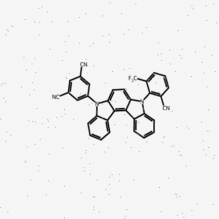 N#Cc1cc(C#N)cc(-n2c3ccccc3c3c4c5ccccc5n(-c5c(C#N)cccc5C(F)(F)F)c4ccc32)c1